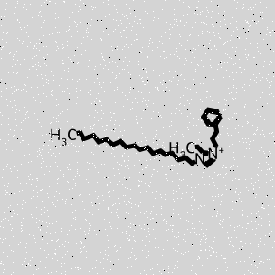 CCCCCCCCCCCCCCCCCCCn1cc[n+](CCCc2ccccc2)c1CC